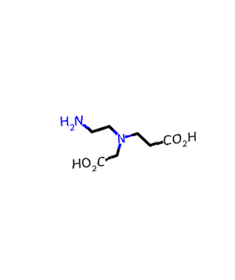 NCCN(CCC(=O)O)CC(=O)O